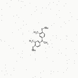 Cc1cc(P(C)c2ccc(SC(C)(C)C)c(C)c2)ccc1SC(C)(C)C